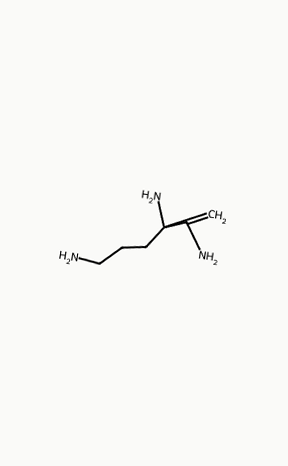 C=C(N)C(N)CCCN